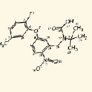 Cc1ccc(F)c(Oc2ccc([N+](=O)[O-])c(CN(C(=O)O)C(C)(C)C)c2)c1